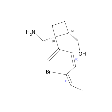 C=C(/C=C\C(Br)=C/C)[C@@]1(CN)CC[C@@H]1CO